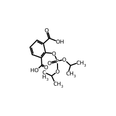 CC(C)OP(=O)(Oc1c(C(=O)O)cccc1C(=O)O)OC(C)C